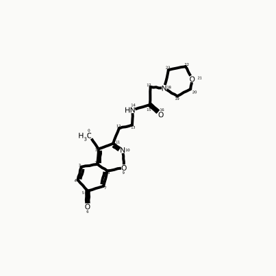 Cc1c2ccc(=O)cc-2onc1CCNC(=O)CN1CCOCC1